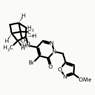 COc1cc(Cn2ncc(N[C@@H]3C[C@@H]4C[C@H]([C@H]3C)C4(C)C)c(Br)c2=O)on1